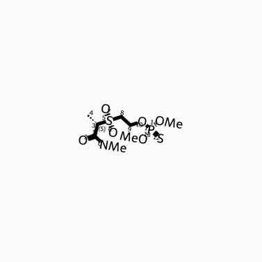 CNC(=O)[C@H](C)S(=O)(=O)CCOP(=S)(OC)OC